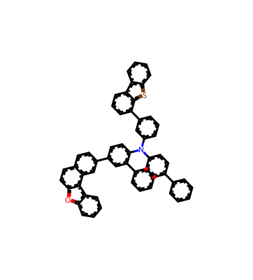 c1ccc(-c2ccc(N(c3cccc(-c4cccc5c4sc4ccccc45)c3)c3ccc(-c4ccc5ccc6oc7ccccc7c6c5c4)cc3-c3ccccc3)cc2)cc1